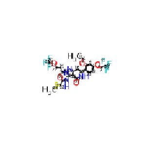 CCOc1cc(OCC(F)(F)F)ccc1C1Cc2nn(CCCOC(F)(F)F)c(NC(=O)CSC)c2C(=O)N1